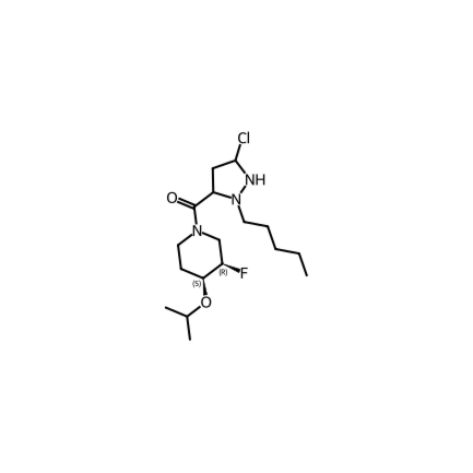 CCCCCN1NC(Cl)CC1C(=O)N1CC[C@H](OC(C)C)[C@H](F)C1